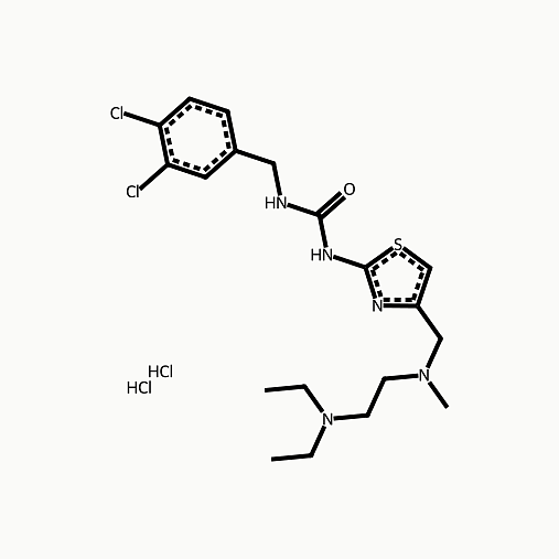 CCN(CC)CCN(C)Cc1csc(NC(=O)NCc2ccc(Cl)c(Cl)c2)n1.Cl.Cl